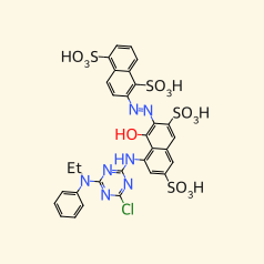 CCN(c1ccccc1)c1nc(Cl)nc(Nc2cc(S(=O)(=O)O)cc3cc(S(=O)(=O)O)c(/N=N/c4ccc5c(S(=O)(=O)O)cccc5c4S(=O)(=O)O)c(O)c23)n1